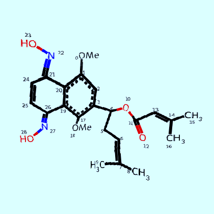 COc1cc(C(CC=C(C)C)OC(=O)C=C(C)C)c(OC)c2c1C(=NO)C=CC2=NO